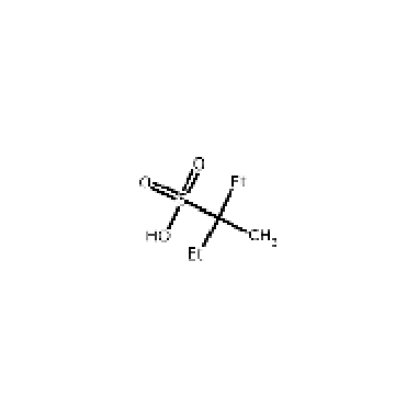 CCC(C)(CC)S(=O)(=O)O